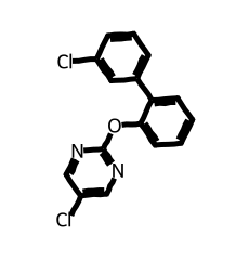 Clc1cnc(Oc2ccccc2-c2cccc(Cl)c2)nc1